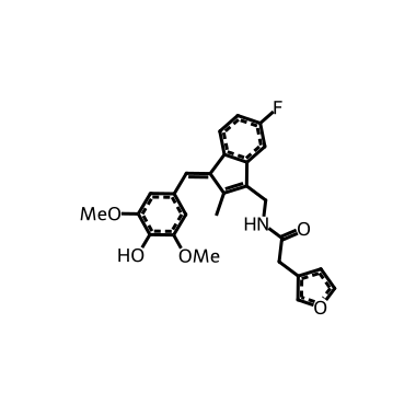 COc1cc(C=C2C(C)=C(CNC(=O)Cc3ccoc3)c3cc(F)ccc32)cc(OC)c1O